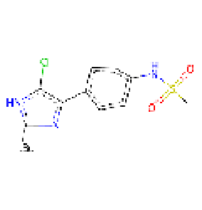 CC(C)(C)c1nc(-c2ccc(NS(C)(=O)=O)cc2)c(Cl)[nH]1